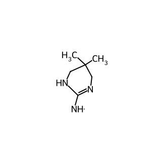 CC1(C)CN=C([NH])NC1